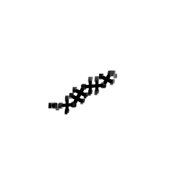 O=C(O)C(F)(F)OC(F)(F)C(F)(F)OC(F)(F)C(F)(F)OC(F)(F)C(F)(F)F